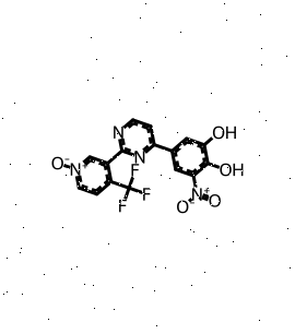 O=[N+]([O-])c1cc(-c2ccnc(-c3c[n+]([O-])ccc3C(F)(F)F)n2)cc(O)c1O